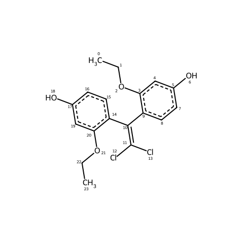 CCOc1cc(O)ccc1C(=C(Cl)Cl)c1ccc(O)cc1OCC